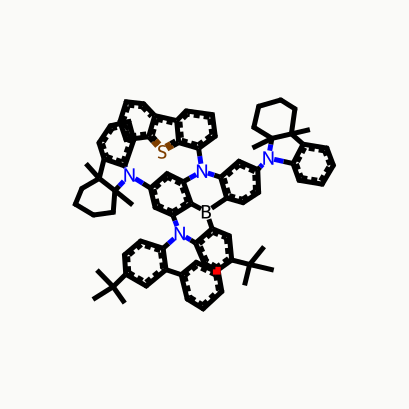 CC(C)(C)c1ccc2c(c1)B1c3ccc(N4c5ccccc5C5(C)CCCCC45C)cc3N(c3cccc4c3sc3ccccc34)c3cc(N4c5ccccc5C5(C)CCCCC45C)cc(c31)N2c1ccc(C(C)(C)C)cc1-c1ccccc1